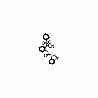 N#CN(c1ccccc1NC(=O)Nc1ccccc1Br)S(=O)(=O)c1ccccc1